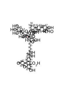 CC1O[C@@H](OC2C(O)[C@@H](NC(=O)CCCCCNC(=S)Nc3ccc(-c4c5ccc(=O)cc-5oc5cc(O)ccc45)c(C(=O)O)c3)C(CO)O[C@H]2OC(=O)[C@]23CCC(C)(C)CC2C2=CCC4C5(C)CC[C@H](O)C(C)(C=O)[C@@H]5CCC4(C)C2(C)C[C@H]3O)C(O)C(O)[C@H]1O[C@@H]1OC[C@@H](O)C(O)C1O